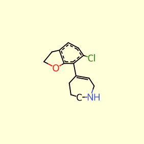 Clc1ccc2c(c1C1=CCNCCC1)OCC2